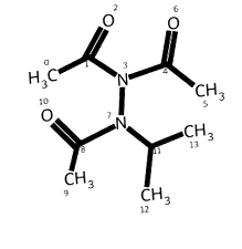 CC(=O)N(C(C)=O)N(C(C)=O)C(C)C